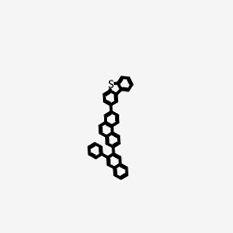 c1ccc(-c2cc3ccccc3cc2-c2ccc3c(ccc4cc(-c5ccc6sc7ccccc7c6c5)ccc43)c2)cc1